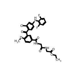 CCOC(=O)CNC(=O)CNC(=O)c1ccc(OC)c(C(=O)c2ccc(Nc3c(F)cccc3F)cc2Cl)c1